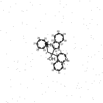 C#CCC(O)(c1ccnc2ccccc12)c1cc2ccccc2n1-c1ccccc1